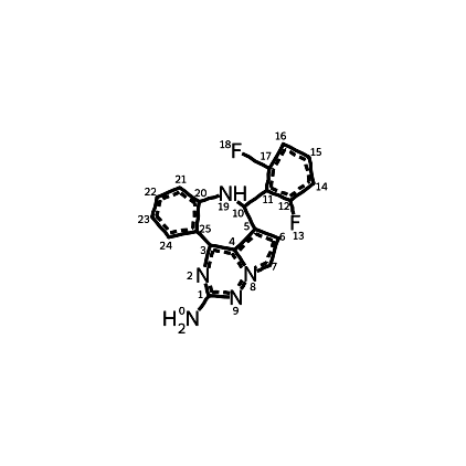 Nc1nc2c3c(ccn3n1)C(c1c(F)cccc1F)Nc1ccccc1-2